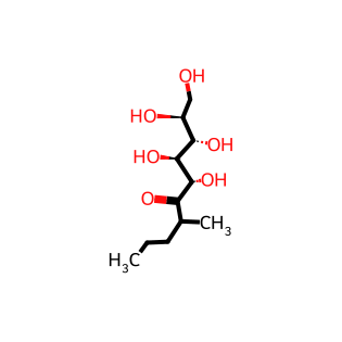 CCCC(C)C(=O)[C@@H](O)[C@@H](O)[C@@H](O)[C@@H](O)CO